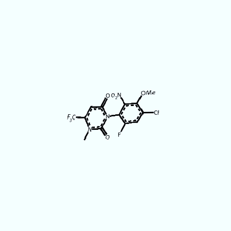 COc1c(Cl)cc(F)c(-n2c(=O)cc(C(F)(F)F)n(C)c2=O)c1[N+](=O)[O-]